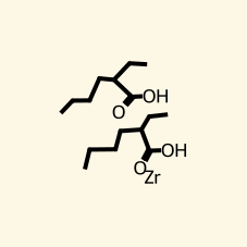 CCCCC(CC)C(=O)O.CCCCC(CC)C(=O)O.[Zr]